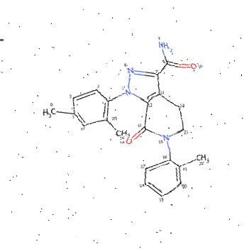 Cc1ccc(-n2nc(C(N)=O)c3c2C(=O)N(c2ccccc2C)CC3)c(C)c1